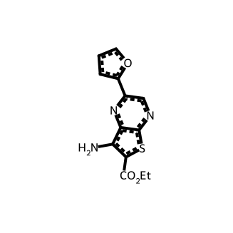 CCOC(=O)c1sc2ncc(-c3ccco3)nc2c1N